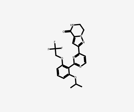 CC(C)Oc1cccc(OCC(F)(F)F)c1-c1nccc(-c2cc3n(n2)CCNC3=O)n1